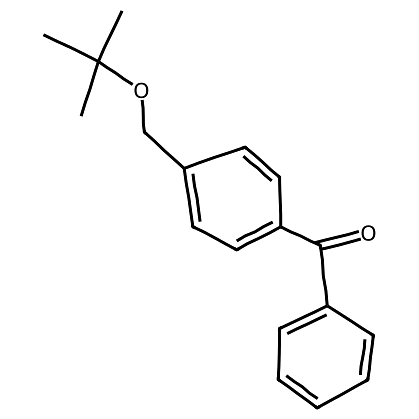 CC(C)(C)OCc1ccc(C(=O)c2ccccc2)cc1